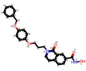 O=C(NO)c1ccc2ccn(CCCOc3ccc(OCc4ccccc4)cc3)c(=O)c2c1